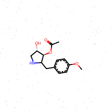 COc1ccc(CC2NC[C@H](O)[C@H]2OC(C)=O)cc1